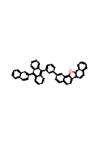 c1cc(-c2ccc3ccc4c5ccc6ccccc6c5oc4c3c2)cc(-c2c3ccccc3c(-c3ccc4ccccc4c3)c3ccccc23)c1